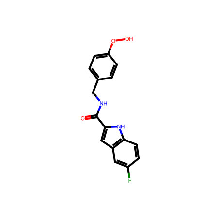 O=C(NCc1ccc(OO)cc1)c1cc2cc(F)ccc2[nH]1